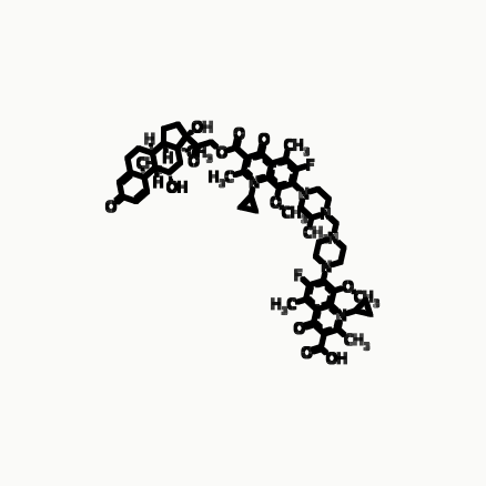 COc1c(N2CCN(CN3CCN(c4c(F)c(C)c5c(=O)c(C(=O)OCC(=O)[C@@]6(O)CC[C@H]7[C@@H]8CCC9=CC(=O)C=C[C@]9(C)[C@H]8[C@@H](O)C[C@@]76C)c(C)n(C6CC6)c5c4OC)CC3C)CC2)c(F)c(C)c2c(=O)c(C(=O)O)c(C)n(C3CC3)c12